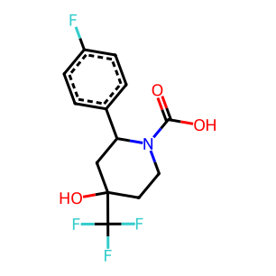 O=C(O)N1CCC(O)(C(F)(F)F)CC1c1ccc(F)cc1